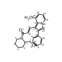 CCC1CCCCN1C(=O)/C=C/c1c(-c2ccccc2)nn2cccc(C)c12